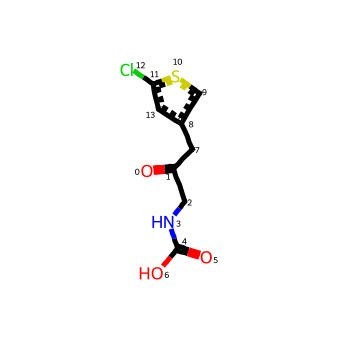 O=C(CNC(=O)O)Cc1csc(Cl)c1